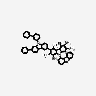 Bc1c(B)c(B)c2c(c1B)c1c(B)c(-c3ccc4c(c3)c3ccc(-c5ccccc5)cc3n4-c3cccc(-c4ccccc4)c3)c(B)c(B)c1n2-c1cccc2oc3ccccc3c12